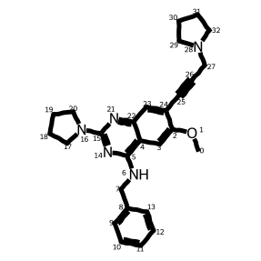 COc1cc2c(NCc3ccccc3)nc(N3CCCC3)nc2cc1C#CCN1CCCC1